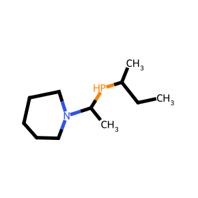 CCC(C)PC(C)N1CCCCC1